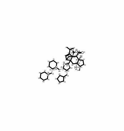 CC(C)C1=CC2CC3(C=O)[C@@H]4CC[C@@H](C)[C@H]4CC2([C@H]2C[C@H](CC4CCCC4)[C@H](CN4CCCC[C@H]4CN4CCCCC4)O2)[C@]13C(=O)O